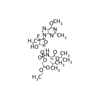 CCOC(=O)COP(=O)(N[C@@H](CC(C)C)C(=O)OC(C)C)OC[C@H]1O[C@@H](n2cnc3c(OC)nc(C)nc32)[C@@](C)(F)C1O